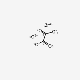 O=C([O-])C(=O)[O-].[O-2].[Zr+4]